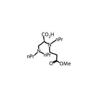 CCCN(CCC)C[C@@H](C(=O)O)N(CCC)CCC(=O)OC